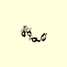 CN1CCN(Cc2ccc(N(I)c3ncc(Cl)c(Nc4ccccc4S(=O)(=O)N(C)C)n3)cc2)CC1